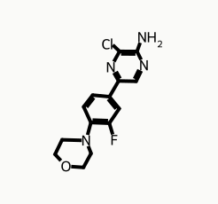 Nc1ncc(-c2ccc(N3CCOCC3)c(F)c2)nc1Cl